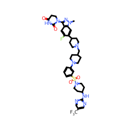 Cn1nc(N2CCC(=O)NC2=O)c2cc(F)c(C3CCN(CC4CCN(c5cccc(S(=O)(=O)N6CCC(Nc7ncc(C(F)(F)F)cn7)CC6)c5)CC4)CC3)cc21